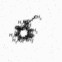 CCCCCCC[C@@H](O)CC(=O)N[C@H](CCN)C(=O)N[C@H]1CCNC(=O)[C@H](Cc2c[nH]c3ccccc23)NC(=O)[C@H](CCN)NC(=O)[C@H](CCN)NC(=O)[C@H](CC(C)C)NC(=O)C(C2Cc3ccccc3C2)NC(=O)[C@H](CCN)NC1=O